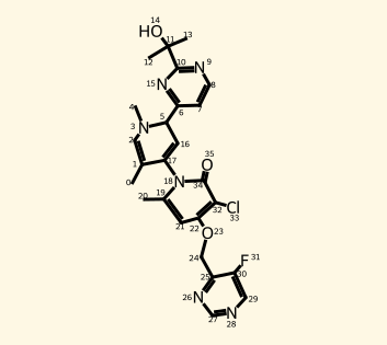 CC1=CN(C)C(c2ccnc(C(C)(C)O)n2)C=C1n1c(C)cc(OCc2ncncc2F)c(Cl)c1=O